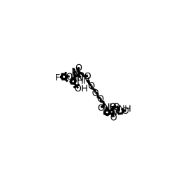 Cc1cc(F)cc(C)c1Oc1ccc(C(C)(C)O)cc1-c1cn(C)c(=O)c2cc(C(=O)NCCOCCOCCOCCC(=O)Nc3cccc4c3C(=O)N(C3CCC(=O)NC3=O)C4=O)[nH]c12